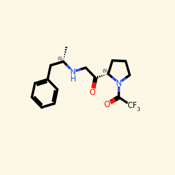 C[C@@H](Cc1ccccc1)NCC(=O)[C@@H]1CCCN1C(=O)C(F)(F)F